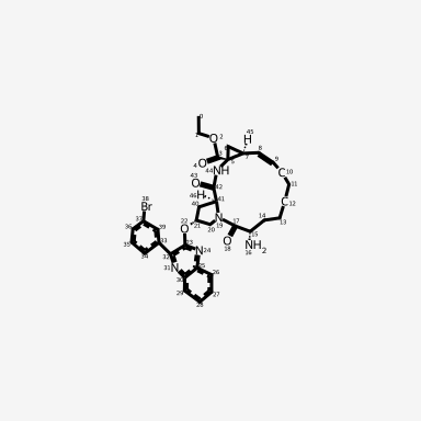 CCOC(=O)[C@@]12C[C@H]1/C=C\CCCCC[C@H](N)C(=O)N1C[C@H](Oc3nc4ccccc4nc3-c3cccc(Br)c3)C[C@H]1C(=O)N2